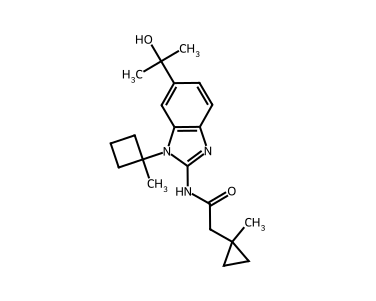 CC1(CC(=O)Nc2nc3ccc(C(C)(C)O)cc3n2C2(C)CCC2)CC1